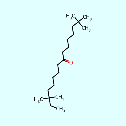 CCC(C)(C)CCCCCC(=O)CCCCCC(C)(C)C